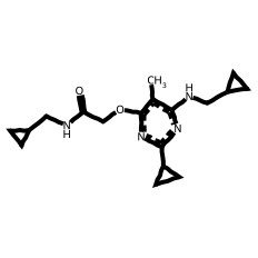 Cc1c(NCC2CC2)nc(C2CC2)nc1OCC(=O)NCC1CC1